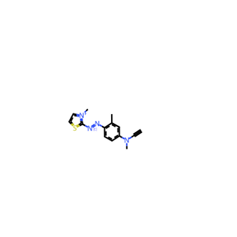 C#CN(C)c1ccc(/N=N/c2scc[n+]2C)c(C)c1